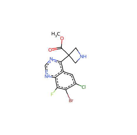 COC(=O)C1(c2ncnc3c(F)c(Br)c(Cl)cc23)CNC1